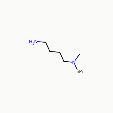 CCCN(C)CCCCN